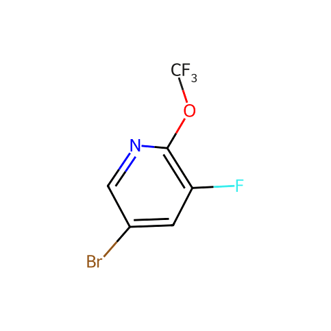 Fc1cc(Br)cnc1OC(F)(F)F